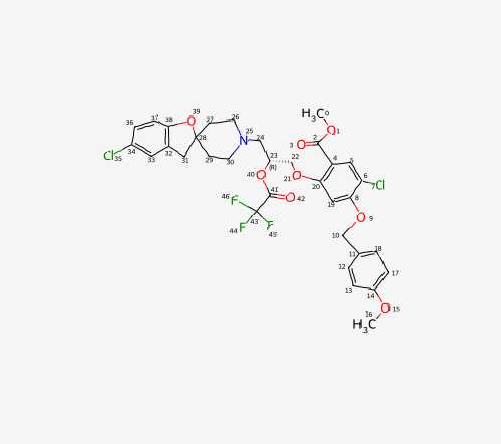 COC(=O)c1cc(Cl)c(OCc2ccc(OC)cc2)cc1OC[C@@H](CN1CCC2(CC1)Cc1cc(Cl)ccc1O2)OC(=O)C(F)(F)F